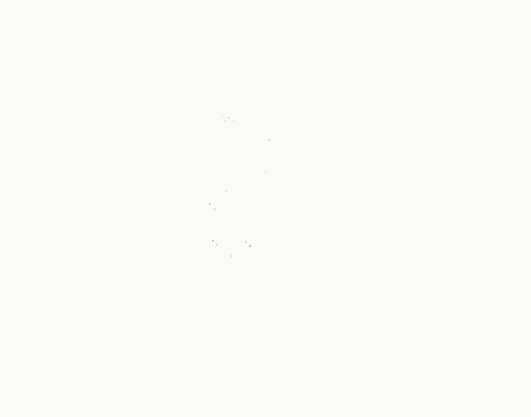 COc1cccc(-c2cnc3[nH]c(=O)n(CC(=O)c4cccs4)c3c2)c1